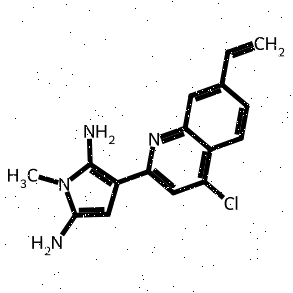 C=Cc1ccc2c(Cl)cc(-c3cc(N)n(C)c3N)nc2c1